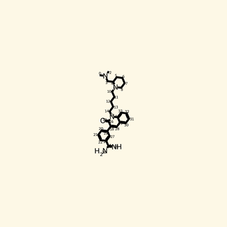 CN(C)CC1CCCCN1CCCCCn1c(=O)c(-c2cccc(C(=N)N)c2)cc2ccccc21